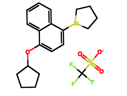 O=S(=O)([O-])C(F)(F)F.c1ccc2c([S+]3CCCC3)ccc(OC3CCCC3)c2c1